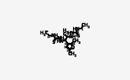 CCNC(=S)NNC(C)C(NNC(=S)NCC)c1cc(C)oc1C